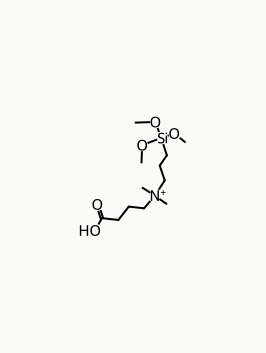 CO[Si](CCC[N+](C)(C)CCCC(=O)O)(OC)OC